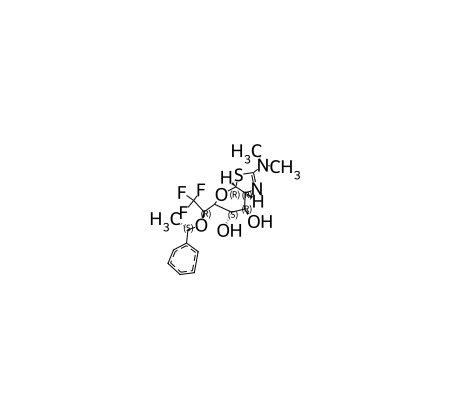 C[C@H](O[C@H](C1O[C@@H]2SC(N(C)C)=N[C@@H]2[C@@H](O)[C@@H]1O)C(F)(F)F)c1ccccc1